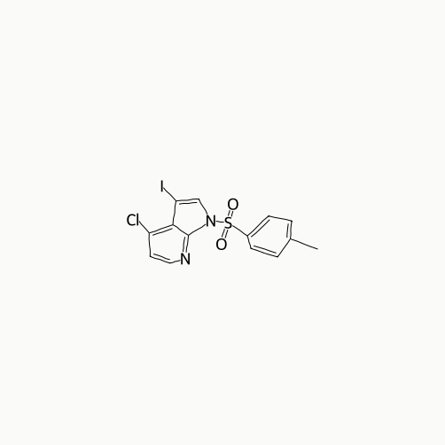 Cc1ccc(S(=O)(=O)n2cc(I)c3c(Cl)ccnc32)cc1